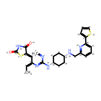 C=N\C(=N/C(=C\C)/C=C1\SC(=O)NC1=O)N[C@H]1CC[C@@H](NCc2cccc(-c3cccs3)n2)CC1